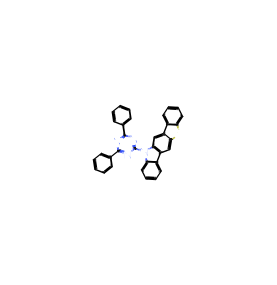 c1ccc(-c2nc(-c3ccccc3)nc(-n3c4ccccc4c4cc5sc6ccccc6c5cc43)n2)cc1